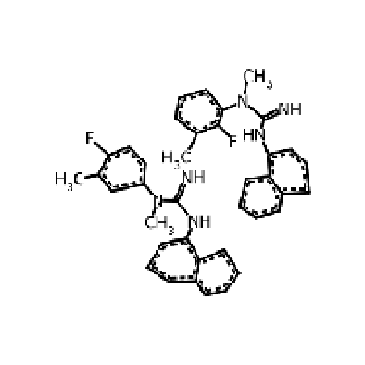 Cc1cc(N(C)C(=N)Nc2cccc3ccccc23)ccc1F.Cc1cccc(N(C)C(=N)Nc2cccc3ccccc23)c1F